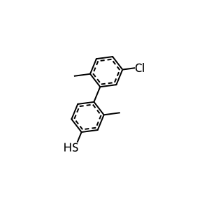 Cc1cc(S)ccc1-c1cc(Cl)ccc1C